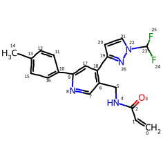 C=CC(=O)NCc1cnc(-c2ccc(C)cc2)cc1-c1ccn(C(F)F)n1